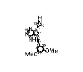 COc1cc(C#Cc2cn(C3CNC3)c3ncnc(N)c23)cc(OC)c1